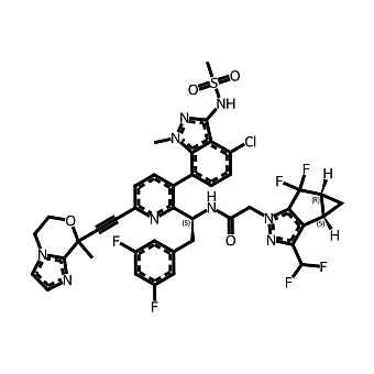 Cn1nc(NS(C)(=O)=O)c2c(Cl)ccc(-c3ccc(C#CC4(C)OCCn5ccnc54)nc3[C@H](Cc3cc(F)cc(F)c3)NC(=O)Cn3nc(C(F)F)c4c3C(F)(F)[C@@H]3C[C@H]43)c21